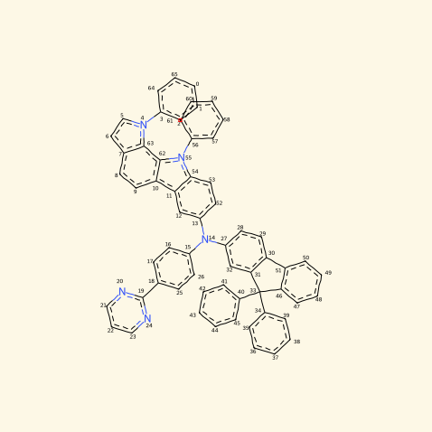 c1ccc(-n2ccc3ccc4c5cc(N(c6ccc(-c7ncccn7)cc6)c6ccc7c(c6)C(c6ccccc6)(c6ccccc6)c6ccccc6-7)ccc5n(-c5ccccc5)c4c32)cc1